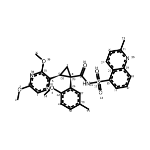 COc1cnc([C@H]2C[C@@]2(C(=O)NS(=O)(=O)c2cccc3nc(C)ccc23)c2cc(C)ccc2OC)c(OC)n1